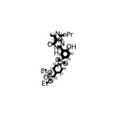 CCCc1nc(C)c2c(=O)[nH]c(-c3cc(S(=O)(=O)N4CCC(CP(=O)(OCC)OCC)CC4)ccc3O)nn12